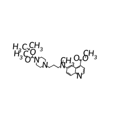 COC(=O)c1ccnc2ccc(N(C)CCCN3CCN(C(=O)OC(C)(C)C)CC3)cc12